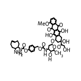 COc1cccc2c1C(=O)c1c(O)c3c(c(O)c1C2=O)C[C@@](O)(C(=O)CO)C[C@@H]3O[C@H]1CC(NC(=O)OCc2ccc(OC(=O)NC3CC/C=C/CCC3N)cc2)[C@H](O)C(C)O1